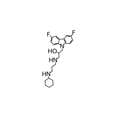 OC(CNCCCNC1CCCCC1)Cn1c2ccc(F)cc2c2cc(F)ccc21